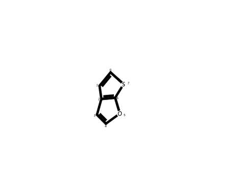 [c]1cc2ccoc2s1